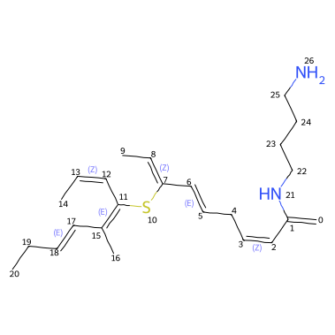 C=C(/C=C\C/C=C/C(=C/C)SC(/C=C\C)=C(C)/C=C/CC)NCCCCN